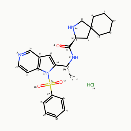 C[C@@H](NC(=O)[C@@H]1CC2(CCCCC2)CN1)c1cc2cnccc2n1S(=O)(=O)c1ccccc1.Cl